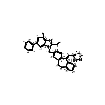 CCc1nc2c(C)cc(-c3ccccc3)cc2n1Cc1ccc2c(c1)CCc1ccccc1C2=Cc1nnn[nH]1